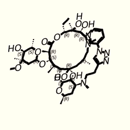 CC[C@H]1OC(=O)[C@H](C)[C@@H](O[C@H]2C[C@@](C)(OC)[C@@H](O)[C@H](C)O2)[C@H](C)[C@@H](O[C@@H]2O[C@H](C)C[C@H](N(C)CCc3cn(-c4cccnc4)nn3)[C@H]2O)[C@](C)(O)C[C@@H](C)CN(C)[C@H](C)[C@@H](O)[C@]1(C)O